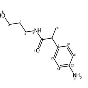 CC(C(=O)NCCCO)c1ccc(N)cc1